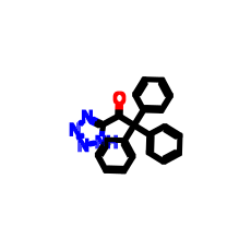 O=C(c1nnn[nH]1)C(c1ccccc1)(c1ccccc1)c1ccccc1